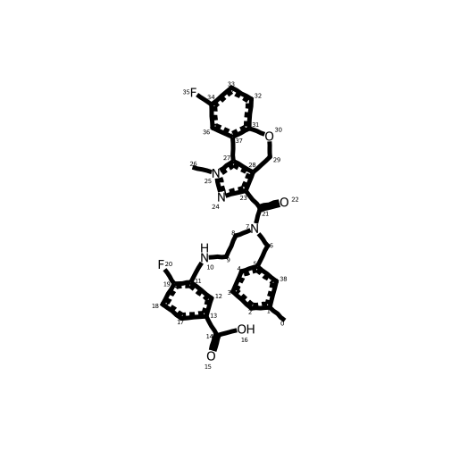 Cc1cccc(CN(CCNc2cc(C(=O)O)ccc2F)C(=O)c2nn(C)c3c2COc2ccc(F)cc2-3)c1